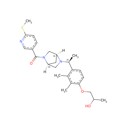 CSc1ccc(C(=O)N2C[C@@H]3C[C@H]2CN3[C@@H](C)c2ccc(OCC(C)O)c(C)c2C)cn1